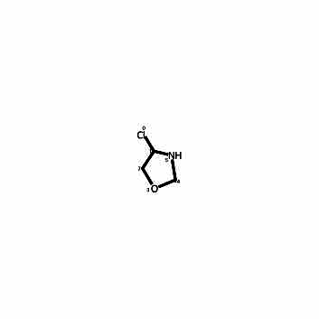 ClC1CO[CH]N1